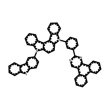 c1cc(-c2ncc3c4ccccc4c4ccccc4c3n2)cc(-n2c3ccccc3c3c4c5ccccc5n(-c5ccc6sc7ccccc7c6c5)c4ccc32)c1